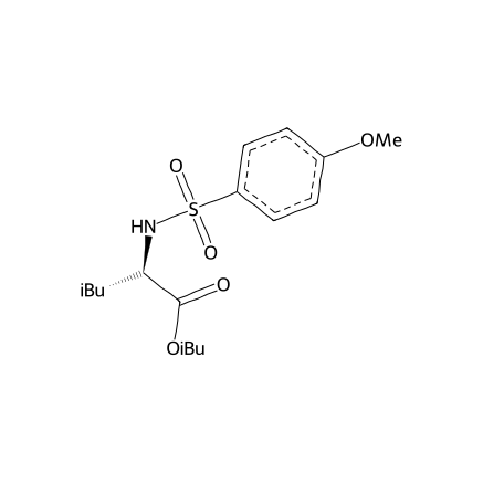 CC[C@@H](C)[C@@H](NS(=O)(=O)c1ccc(OC)cc1)C(=O)OCC(C)C